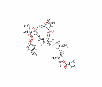 CCOC(C)OC1(C)CCC(O[Si](CC)(CC)CC)CC(=O)OC(/C(C)=C/C=C/C(C)CC2OC2C(C)C(CC)OC(=O)c2ccccc2)C(C)/C=C/C1C(=O)OOc1ccc([N+](=O)[O-])cc1